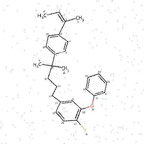 C/C=C(/C)c1ccc(C(C)(C)CCCc2ccc(F)c(Oc3ccccc3)c2)cc1